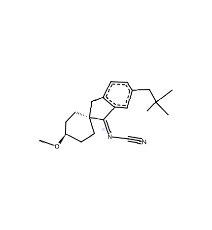 CO[C@H]1CC[C@]2(CC1)Cc1ccc(CC(C)(C)C)cc1/C2=N\C#N